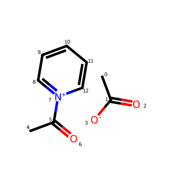 CC(=O)[O-].CC(=O)[n+]1ccccc1